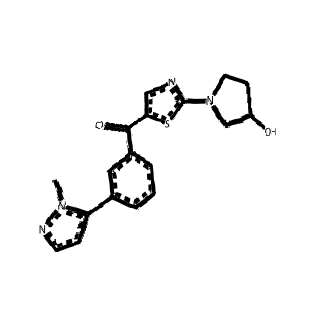 Cn1nccc1-c1cccc(C(=O)c2cnc(N3CCC(O)C3)s2)c1